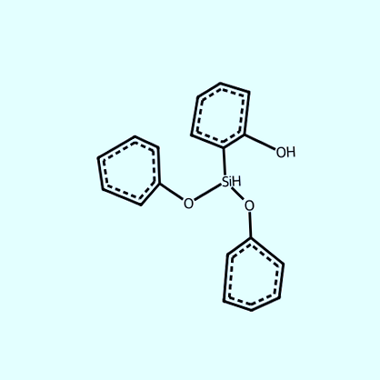 Oc1ccccc1[SiH](Oc1ccccc1)Oc1ccccc1